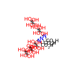 O=C(O)CCN1CC1.O=C(O)CCN1CC1.O=C(O)CCN1CC1.OC[C@@H](O)[C@@H](O)CO.OC[C@@H](O)[C@@H](O)CO.OC[C@@H](O)[C@@H](O)CO.OC[C@@H](O)[C@@H](O)CO.OC[C@@H](O)[C@@H](O)CO